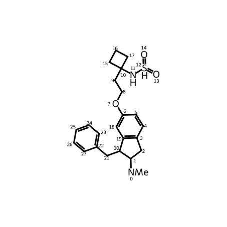 CNC1Cc2ccc(OCCC3(N[SH](=O)=O)CCC3)cc2C1Cc1ccccc1